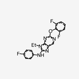 CCn1c(Nc2ccc(F)cc2)nc2cnc(Oc3c(F)cccc3F)nc21